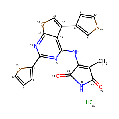 CC1=C(Nc2nc(-c3cccs3)nc3scc(-c4ccsc4)c23)C(=O)NC1=O.Cl